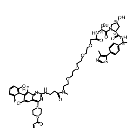 C=CC(=O)N1CCN(c2nc(NCCC(=O)N(C)CCOCCOCCOCCOCC(=O)N[C@H](C(=O)N3C[C@H](O)C[C@H]3C(=O)N[C@@H](C)c3ccc(-c4scnc4C)cc3)C(C)(C)C)nc3c(F)c(-c4c(O)cccc4F)c(Cl)cc23)CC1